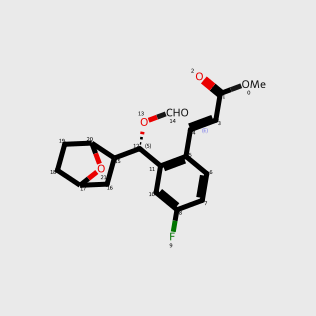 COC(=O)/C=C/c1ccc(F)cc1[C@@H](OC=O)C1CC2CCC1O2